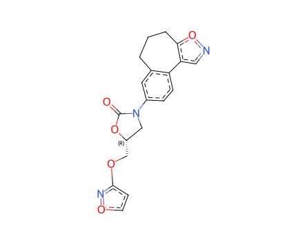 O=C1O[C@@H](COc2ccon2)CN1c1ccc2c(c1)CCCc1oncc1-2